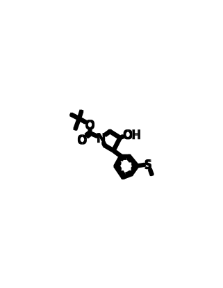 CSc1cccc(C2CN(C(=O)OC(C)(C)C)CC2O)c1